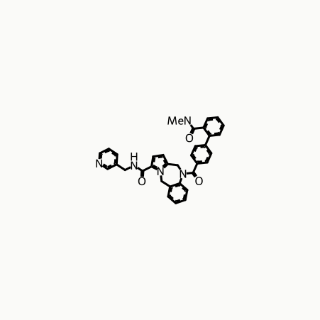 CNC(=O)c1ccccc1-c1ccc(C(=O)N2Cc3ccc(C(=O)NCc4cccnc4)n3Cc3ccccc32)cc1